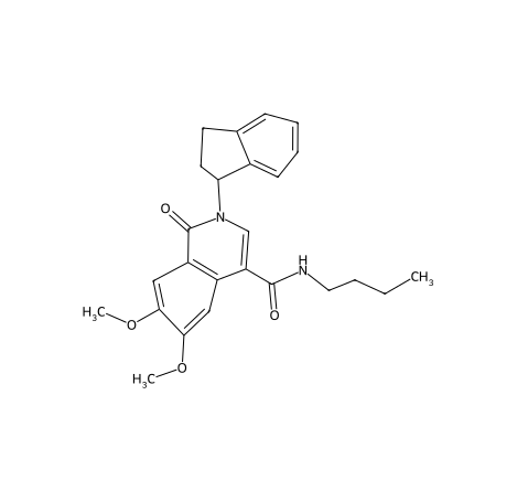 CCCCNC(=O)c1cn(C2CCc3ccccc32)c(=O)c2cc(OC)c(OC)cc12